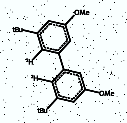 [2H]c1c(-c2cc(OC)cc(C(C)(C)C)c2[2H])cc(OC)cc1C(C)(C)C